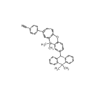 CC1(C)c2ccccc2C(c2ccc3c(c2)[Si](C)(C)c2cc(-c4ccc(C#N)cc4)ccc2O3)c2ccccc21